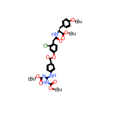 CC(C)(C)OC(=O)N=C(NC(=O)OC(C)(C)C)Nc1ccc(C(=O)Oc2ccc(CC(=O)N[C@@H](Cc3ccc(OC(C)(C)C)cc3)C(=O)OC(C)(C)C)c(Cl)c2)cc1